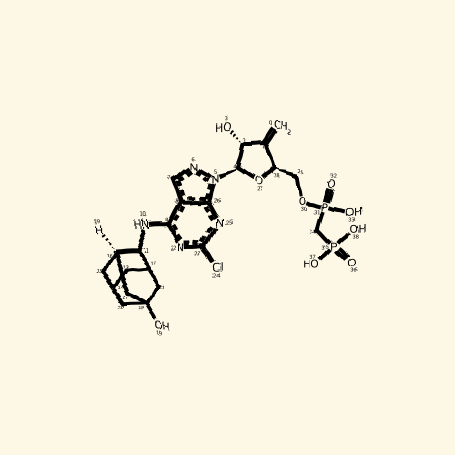 C=C1[C@@H](O)[C@H](n2ncc3c(NC4C5CC6C[C@@H]4CC(O)(C6)C5)nc(Cl)nc32)O[C@@H]1COP(=O)(O)CP(=O)(O)O